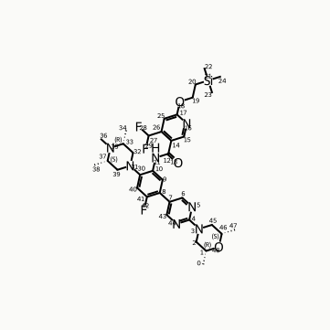 C[C@@H]1CN(c2ncc(-c3cc(NC(=O)c4cnc(OCC[Si](C)(C)C)cc4C(F)F)c(N4C[C@@H](C)N(C)[C@@H](C)C4)cc3F)cn2)C[C@H](C)O1